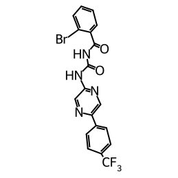 O=C(NC(=O)c1ccccc1Br)Nc1cnc(-c2ccc(C(F)(F)F)cc2)cn1